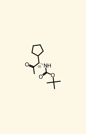 CC(=O)[C@@H](NC(=O)OC(C)(C)C)C1CCCC1